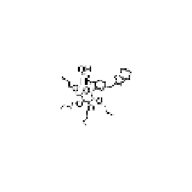 CCCCOC[C@H]1O[C@@H](c2cc(Cc3cc4ccccc4s3)ccc2NCCO)[C@H](OCCCC)[C@@H](OCCCC)[C@@H]1OCCCC